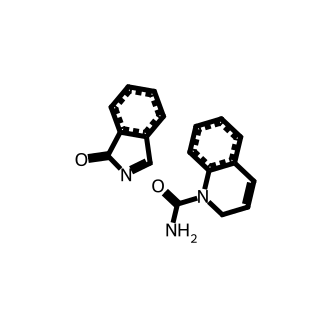 NC(=O)N1CC=Cc2ccccc21.O=C1N=Cc2ccccc21